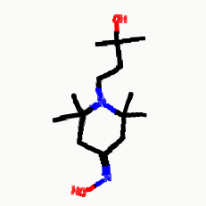 CC(C)(O)CCN1C(C)(C)CC(=NO)CC1(C)C